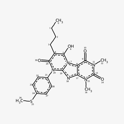 CCCCc1c(O)n2c3c(=O)n(C)c(=O)n(C)c3nc2n(-c2ccc(SC)cc2)c1=O